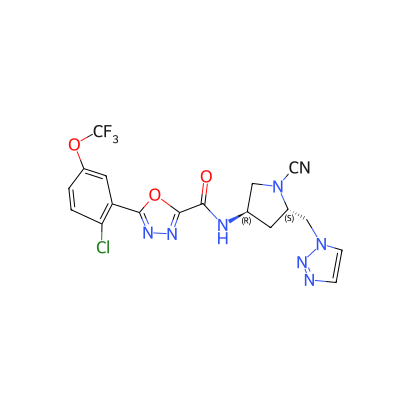 N#CN1C[C@H](NC(=O)c2nnc(-c3cc(OC(F)(F)F)ccc3Cl)o2)C[C@H]1Cn1ccnn1